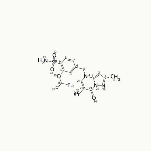 Cc1cc2n(Cc3ccc(S(N)(=O)=O)c(OC(F)F)c3)cc(C(C)C)c(=O)n2n1